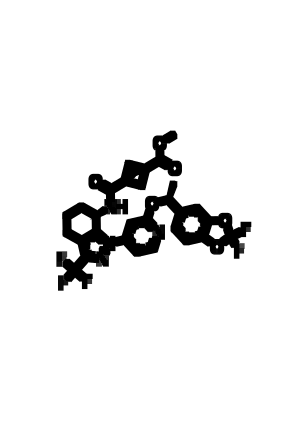 COC(=O)C12CC(C(=O)N[C@@H]3CCCc4c(C(F)(F)F)nn(-c5ccnc(O[C@@H](C)c6ccc7c(c6)OC(F)(F)O7)c5)c43)(C1)C2